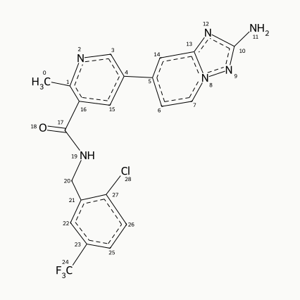 Cc1ncc(-c2ccn3nc(N)nc3c2)cc1C(=O)NCc1cc(C(F)(F)F)ccc1Cl